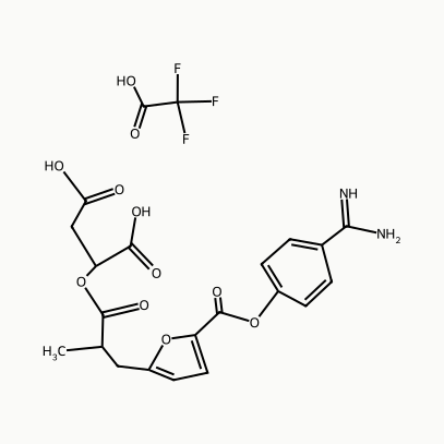 CC(Cc1ccc(C(=O)Oc2ccc(C(=N)N)cc2)o1)C(=O)OC(CC(=O)O)C(=O)O.O=C(O)C(F)(F)F